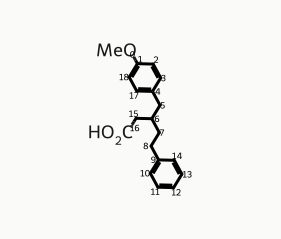 COc1ccc(CC(CCc2ccccc2)CC(=O)O)cc1